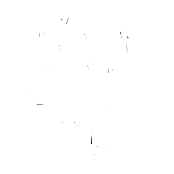 NC(=O)N(NC(=O)O)c1ccccc1.NC(=O)NCCC[C@H](N)C(=O)O